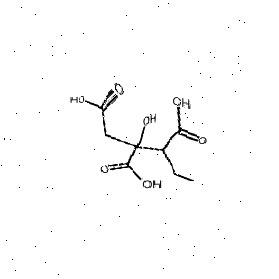 CCC(C(=O)O)C(O)(CC(=O)O)C(=O)O